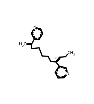 C=C(CCCCC/C(=C/CC)c1cccnc1)c1cccnc1